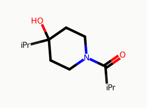 CC(C)C(=O)N1CCC(O)(C(C)C)CC1